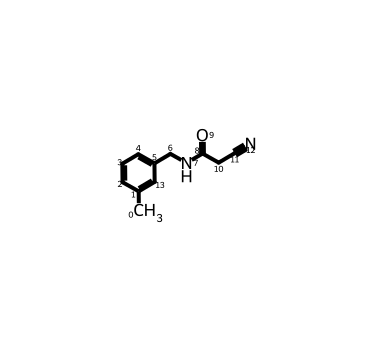 Cc1cccc(CNC(=O)CC#N)c1